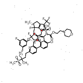 C[C@@H]1Cc2c(C(F)(F)F)nn(CC(=O)N[C@@H](Cc3cc(F)cc(F)c3)c3nc(CCC(C)(C)S(C)(=O)=O)ccc3-c3ccc(Cl)c4c(N(C(=O)OCCN5CCOCC5)S(C)(=O)=O)nn(CC(F)(F)F)c34)c2C1(F)F